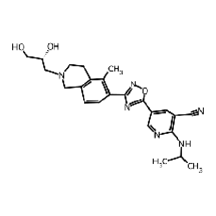 Cc1c(-c2noc(-c3cnc(NC(C)C)c(C#N)c3)n2)ccc2c1CCN(C[C@@H](O)CO)C2